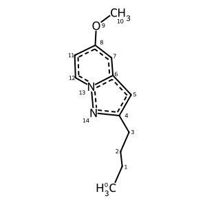 CCCCc1cc2cc(OC)ccn2n1